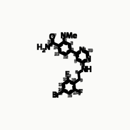 CNc1cc(-c2cc(NCCc3c(F)cc(Br)cc3F)ncn2)ccc1C(N)=O